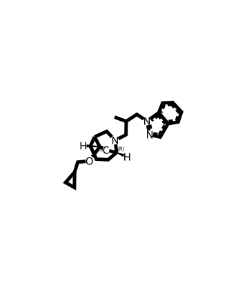 CC(CN1CC2CCC[C@@H]1C[C@@H]2OCC1CC1)Cn1ncc2ccccc21